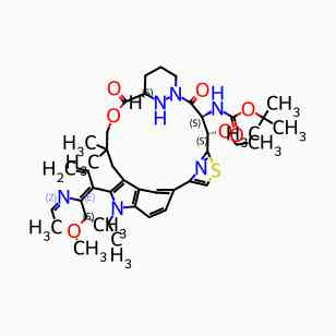 C=C/C(=C(\N=C/C)[C@H](C)OC)c1c2c3cc(ccc3n1CC)-c1csc(n1)[C@@H](OCC)[C@H](NC(=O)OC(C)(C)C)C(=O)N1CCC[C@H](N1)C(=O)OCC(C)(C)C2